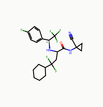 N#CC1(NC(=O)C(CC(F)(F)C2CCCCC2)N[C@@H](c2ccc(F)cc2)C(F)(F)F)CC1